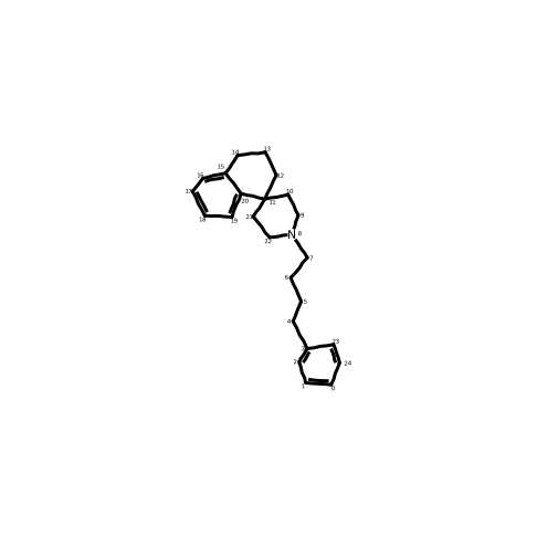 c1ccc(CCCCN2CCC3(CCCc4ccccc43)CC2)cc1